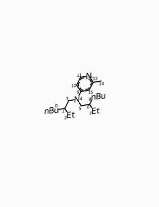 CCCCC(CC)CN(CC(CC)CCCC)c1ccnc(C)c1